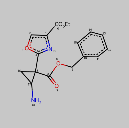 CCOC(=O)c1coc(C2(C(=O)OCc3ccccc3)CC2N)n1